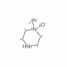 CC(C)[N+]1([O-])CCNCC1